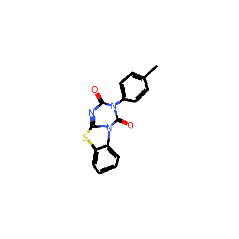 Cc1ccc(-n2c(=O)nc3sc4ccccc4n3c2=O)cc1